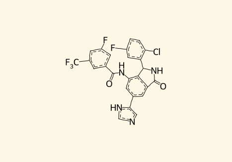 O=C(Nc1cc(-c2cnc[nH]2)cc2c1C(c1cc(F)ccc1Cl)NC2=O)c1cc(F)cc(C(F)(F)F)c1